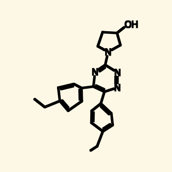 CCc1ccc(-c2nnc(N3CCC(O)C3)nc2-c2ccc(CC)cc2)cc1